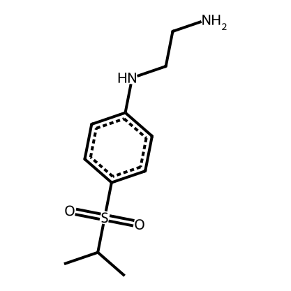 CC(C)S(=O)(=O)c1ccc(NCCN)cc1